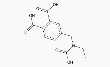 CCN(Cc1ccc(C(=O)O)c(C(=O)O)c1)C(=O)O